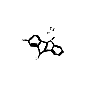 Cn1c2c(c3ccccc31)[CH]([Zr+2])c1cc(Br)ccc1-2.[Cl-].[Cl-]